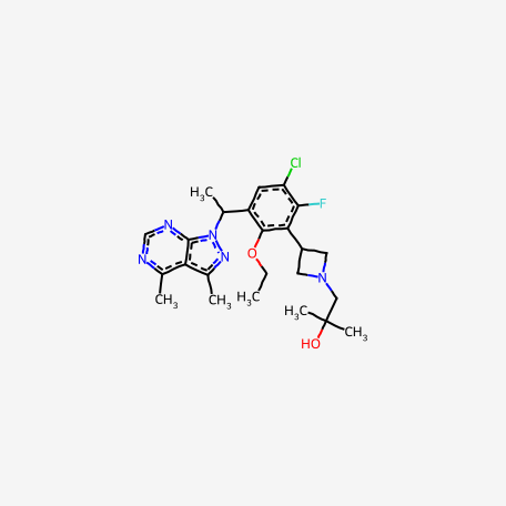 CCOc1c(C(C)n2nc(C)c3c(C)ncnc32)cc(Cl)c(F)c1C1CN(CC(C)(C)O)C1